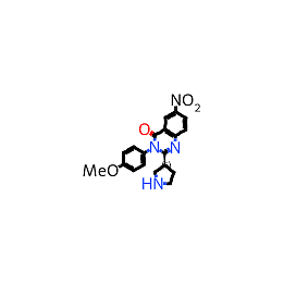 COc1ccc(-n2c([C@H]3CCNC3)nc3ccc([N+](=O)[O-])cc3c2=O)cc1